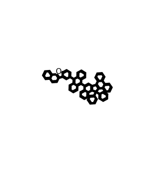 c1ccc(C2(c3ccccc3)c3c(cc(-c4c5ccccc5c(-c5ccc6oc7c8ccccc8ccc7c6c5)c5ccccc45)c4ccccc34)-c3c2c2ccccc2c2ccccc32)cc1